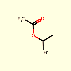 CC(C)C(C)OC(=O)C(F)(F)F